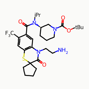 CC(C)N(C(=O)c1cc2c(cc1C(F)(F)F)SC1(CCCC1)C(=O)N2CCN)[C@@H]1CCCN(C(=O)OC(C)(C)C)C1